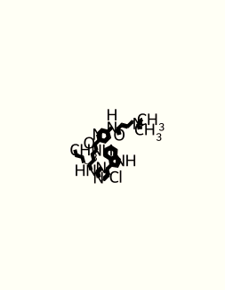 CCCC[C@H](CCNC(=O)c1ccc(NC(=O)/C=C/CN(C)C)cn1)Nc1ncc(Cl)c(-c2c[nH]c3ccccc23)n1